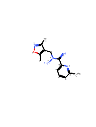 CCc1noc(C)c1CN(N)C(=N)c1cccc(OC)n1